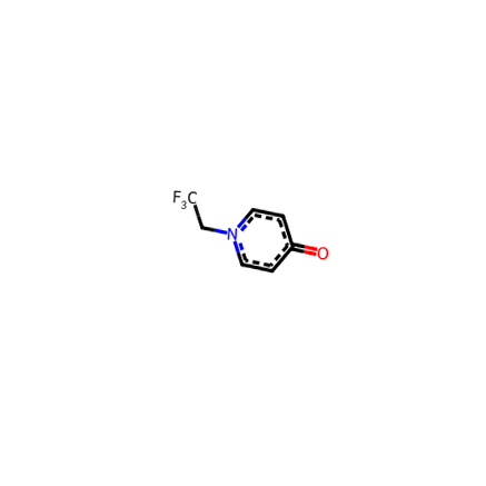 O=c1ccn(CC(F)(F)F)cc1